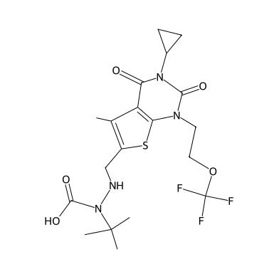 Cc1c(CNN(C(=O)O)C(C)(C)C)sc2c1c(=O)n(C1CC1)c(=O)n2CCOC(F)(F)F